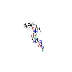 Cc1nc2ccc(Oc3ccc4ncc(-c5cnn(CC(=O)N6CCC(F)C6)c5)nc4c3Cl)cc2n1COCC[Si](C)(C)C